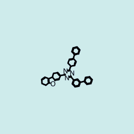 C1=CC2=C(CC1)OC1=CC(c3nc(-c4cccc(-c5ccccc5)c4)nc(C4C=CC(c5ccccc5)=CC4)n3)=CCC12